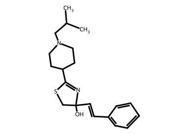 C[C](C)CN1CCC(C2=NC(O)(C=Cc3ccccc3)CS2)CC1